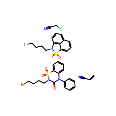 C=CC#N.N#CCCl.O=C1N(c2ccccc2)c2ccccc2S(=O)(=O)N1CCCCBr.O=S1(=O)c2cccc3cccc(c23)N1CCCCBr